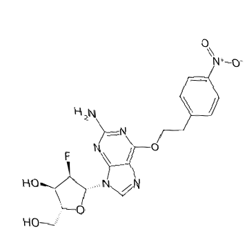 Nc1nc(OCCc2ccc([N+](=O)[O-])cc2)c2ncn([C@@H]3O[C@H](CO)[C@@H](O)[C@H]3F)c2n1